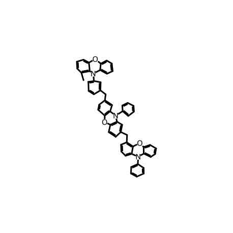 Cc1cccc2c1N(c1cccc(Cc3ccc4c(c3)N(c3ccccc3)c3cc(Cc5cccc6c5Oc5ccccc5N6c5ccccc5)ccc3O4)c1)c1ccccc1O2